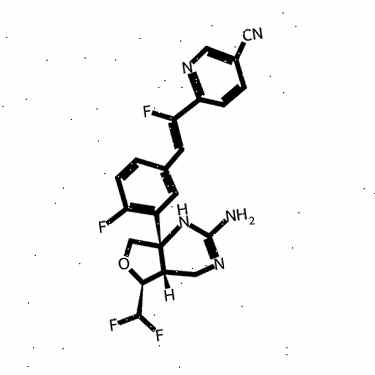 N#Cc1ccc(/C(F)=C/c2ccc(F)c([C@]34CO[C@H](C(F)F)[C@H]3CN=C(N)N4)c2)nc1